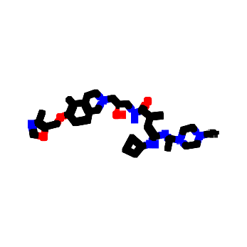 C=C(/C=C(\N=C(/C)N1CCN(C(C)C)CC1)NC1CCC1)C(=O)NC[C@H](O)CN1CCc2c(ccc(OCc3ocnc3C)c2C)C1